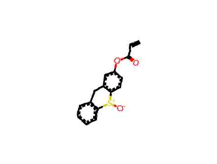 C=CC(=O)Oc1ccc2c(c1)Cc1ccccc1[S+]2[O-]